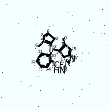 CC1=[C]([Ti]([C]2=C(C)C=CC2)[c]2ccccc2C(F)(F)F)CC=C1.[N-]=[N+]=N